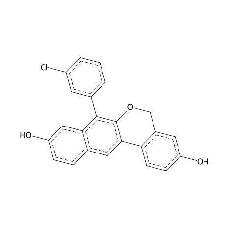 Oc1ccc2c(c1)COc1c-2cc2ccc(O)cc2c1-c1cccc(Cl)c1